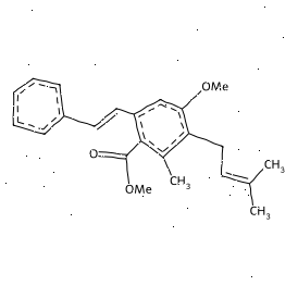 COC(=O)c1c(/C=C/c2ccccc2)cc(OC)c(CC=C(C)C)c1C